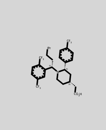 CC(C)CC[C@@H](c1cc(C(F)(F)F)ccc1C(F)(F)F)N1CC[C@@H](CC(=O)O)C[C@H]1c1ccc(C(F)(F)F)cc1